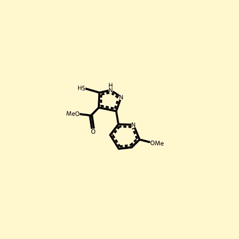 COC(=O)c1c(-c2cccc(OC)n2)n[nH]c1S